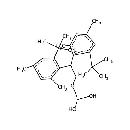 Cc1cc(C)c(C(COP(O)O)c2c(C)cc(C)cc2C(C)(C)C)c(C(C)(C)C)c1